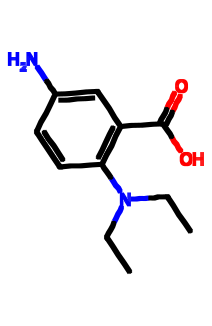 CCN(CC)c1ccc(N)cc1C(=O)O